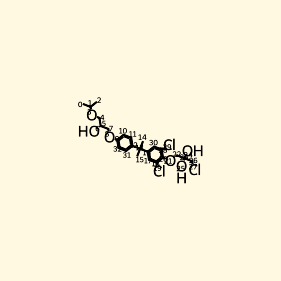 CC(C)OC[C@@H](O)COc1ccc(C(C)(C)c2cc(Cl)c(OCC(O)(O)CCl)c(Cl)c2)cc1